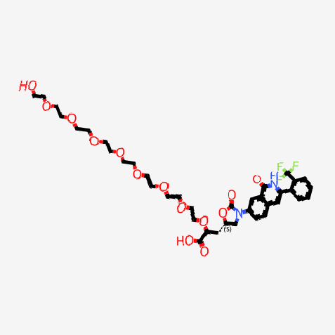 O=C(O)C(C[C@H]1CN(c2ccc3cc(-c4ccccc4C(F)(F)F)[nH]c(=O)c3c2)C(=O)O1)OCCOCCOCCOCCOCCOCCOCCOCCO